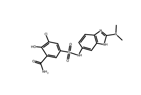 CN(C)c1nc2ccc(NS(=O)(=O)c3cc(Cl)c(O)c(C(N)=O)c3)cc2[nH]1